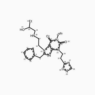 CCCn1c(=O)c2c(nc(Cc3ccccc3)n2CCNCC(O)CC)n(CCc2ncno2)c1=O